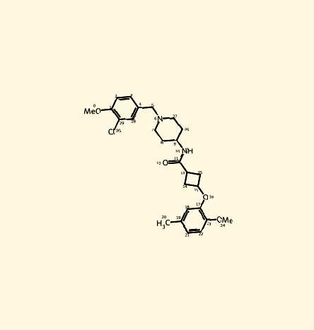 COc1ccc(CN2CCC(NC(=O)C3CC(Oc4cc(C)ccc4OC)C3)CC2)cc1Cl